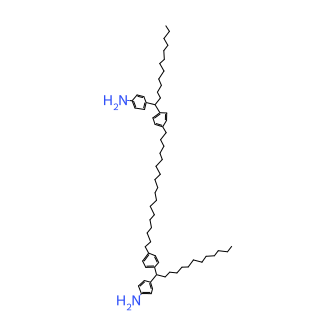 CCCCCCCCCCCCC(c1ccc(N)cc1)c1ccc(CCCCCCCCCCCCCCCCCCc2ccc(C(CCCCCCCCCCCC)c3ccc(N)cc3)cc2)cc1